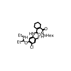 CCCCCCNC(=O)C1=C(C(=O)Nc2cc(OC(CC)PCC)c(Cl)cc2F)CCCC1